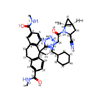 CNC(=O)c1ccc2c(c1)CCc1cc(C(=O)NC)ccc1C2(C[C@H](NCC(=O)N1C(C#N)C[C@@H]2C[C@@H]21)C1CCCCC1)c1nnn[nH]1